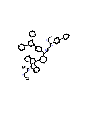 C\C=C/C(=C\C=C\N(c1ccc(-c2cc(-c3ccccc3)cc(-c3ccccc3)c2)cc1)C1C=CC=CC(c2cc3ccccc3c3c2c2ccccc2n3/C(=C/C=C\CC)CC)=C1)c1ccc(-c2ccccc2)cc1